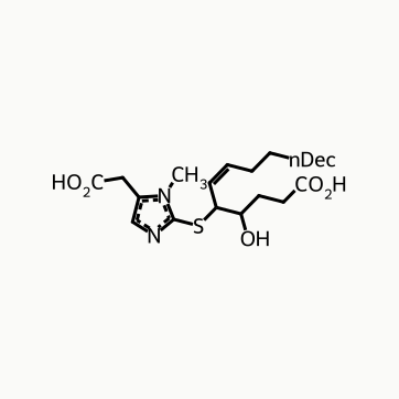 CCCCCCCCCCCC/C=C\C(Sc1ncc(CC(=O)O)n1C)C(O)CCC(=O)O